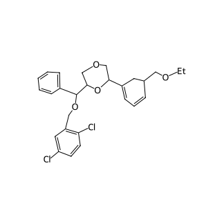 CCOCC1C=CC=C(C2COCC(C(OCc3cc(Cl)ccc3Cl)c3ccccc3)O2)C1